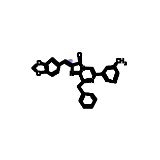 Cc1cccc(C2=CN3C(=O)/C(=C/c4ccc5c(c4)OCO5)N=C3C(Cc3ccccc3)=N2)c1